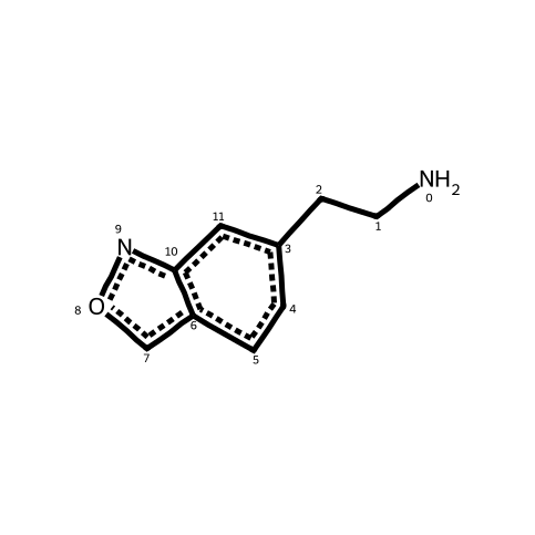 NCCc1ccc2conc2c1